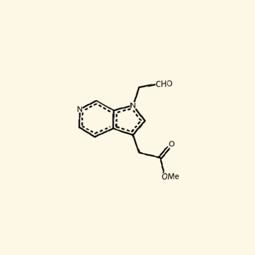 COC(=O)Cc1cn(CC=O)c2cnccc12